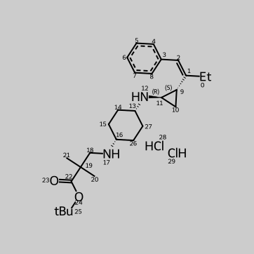 CCC(=Cc1ccccc1)[C@@H]1C[C@H]1N[C@H]1CC[C@@H](NCC(C)(C)C(=O)OC(C)(C)C)CC1.Cl.Cl